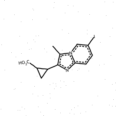 Cc1c(C2CC2C(=O)O)nc2ccc(I)cn12